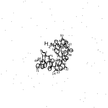 C/C=C/C[C@@H](C)[C@H]1ON(C(=O)[C@H](C(C)C)N(C)C(=O)[C@H](CC(C)C)N(C)C(=O)[C@H](CC(C)C)N(C)C(=O)[C@@H](C)NC(=O)C(C)NC(=O)[C@H](CC(C)C)N(C)C(=O)[C@@H](N)C(C)C)[C@@H]1C(=O)N[C@@H](CC)C(=O)OC